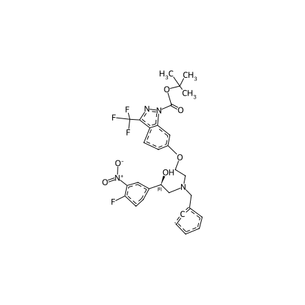 CC(C)(C)OC(=O)n1nc(C(F)(F)F)c2ccc(OCCN(Cc3ccccc3)C[C@H](O)c3ccc(F)c([N+](=O)[O-])c3)cc21